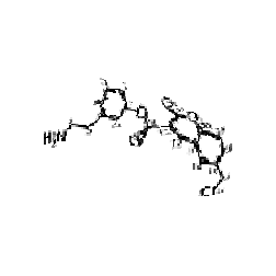 NCCc1cccc(OC(=O)c2cc3cc(CCl)ccc3oc2=O)c1